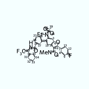 CCN(c1cc2oc(-c3ccc(F)cc3)c(C(=O)NC)c2cc1-c1cccc(C(=O)NC(c2ccccc2)C(F)(F)F)c1)S(C)(=O)=O